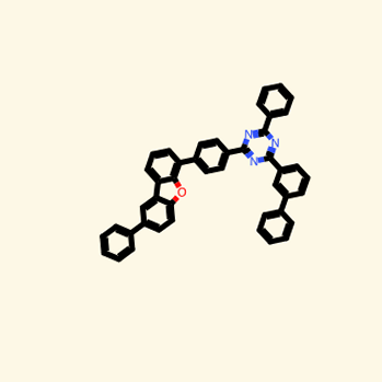 c1ccc(-c2cccc(-c3nc(-c4ccccc4)nc(-c4ccc(-c5cccc6c5oc5ccc(-c7ccccc7)cc56)cc4)n3)c2)cc1